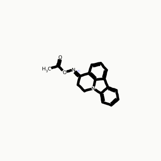 CC(=O)O/N=C1\CCn2c3ccccc3c3cccc1c32